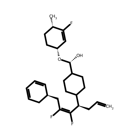 C=CC[C@@H](/C(F)=C(/F)C[C@@H]1C=CC=CC1)C1CCC([C@@H](O)O[C@H]2C=C(F)[C@@H](C)CC2)CC1